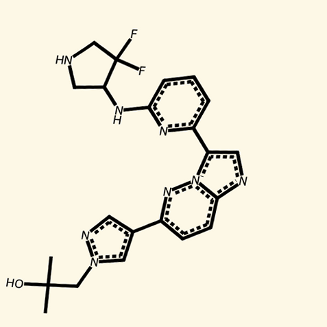 CC(C)(O)Cn1cc(-c2ccc3ncc(-c4cccc(NC5CNCC5(F)F)n4)n3n2)cn1